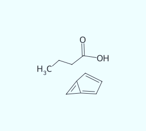 CCCC(=O)O.c1cc2cc-2c1